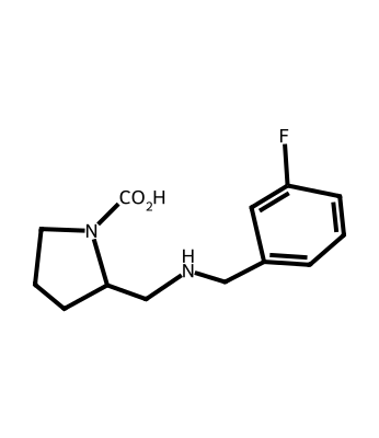 O=C(O)N1CCCC1CNCc1cccc(F)c1